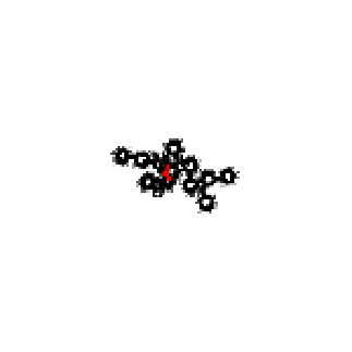 C1=CCCC(n2c3cc(-c4ccccc4)ccc3c3c(-c4cccc5c4c4ccccc4n5-c4ccccc4-c4nc(-c5ccc(-c6ccccc6)cc5)nc(-c5cccc6oc7ccccc7c56)n4)cccc32)=C1